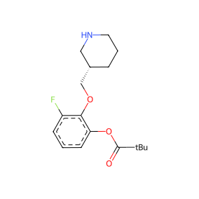 CC(C)(C)C(=O)Oc1cccc(F)c1OC[C@H]1CCCNC1